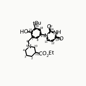 CCOC(=O)C1CCCN(Cc2cc(-n3ccc(=O)[nH]c3=O)cc(C(C)(C)C)c2O)C1